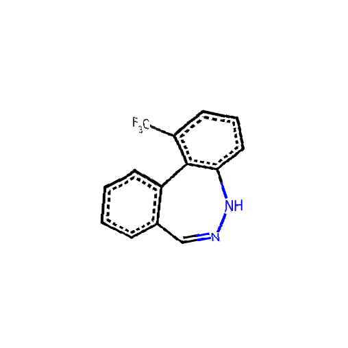 FC(F)(F)c1cccc2c1-c1ccccc1C=NN2